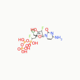 Nc1ccn([C@@H]2O[C@](CCl)(CC(F)P(=O)(O)OP(=O)(O)OP(=O)(O)O)[C@@H](O)C2F)c(=O)n1